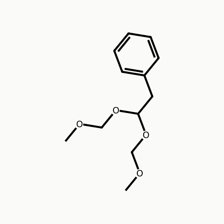 COCO[C](Cc1ccccc1)OCOC